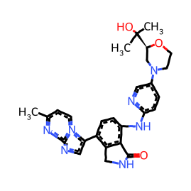 Cc1ccn2c(-c3ccc(Nc4ccc(N5CCO[C@H](C(C)(C)O)C5)cn4)c4c3CNC4=O)cnc2n1